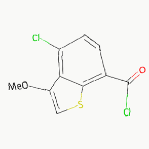 COc1csc2c(C(=O)Cl)ccc(Cl)c12